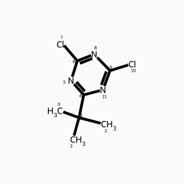 CC(C)(C)c1nc(Cl)nc(Cl)n1